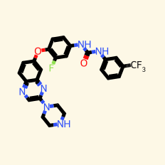 O=C(Nc1cccc(C(F)(F)F)c1)Nc1ccc(Oc2ccc3ncc(N4CCNCC4)nc3c2)c(F)c1